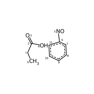 CCC(=O)O.O=Nc1ccccc1